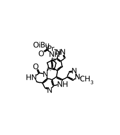 CC(C)COC(=O)N[C@@H]1CC[C@@H](N2C(=O)NCc3cnc4[nH]c(-c5cnn(C)c5)c(-c5ccc6c(cnn6C(C)C)c5)c4c32)C1